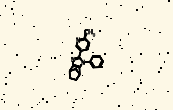 Cc1ccc(-c2nc3c(n2-c2ccccc2)C2CCC3C2)cn1